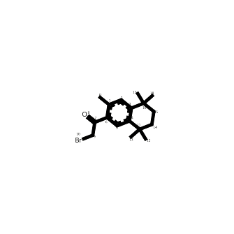 Cc1cc2c(cc1C(=O)CBr)C(C)(C)CCC2(C)C